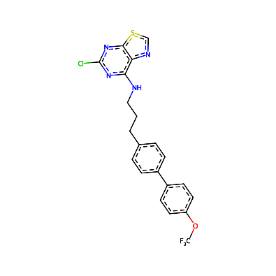 FC(F)(F)Oc1ccc(-c2ccc(CCCNc3nc(Cl)nc4scnc34)cc2)cc1